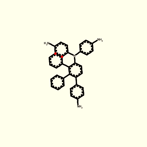 Nc1ccc(-c2ccc(N(c3ccc(N)cc3)c3ccc(N)cc3)c(-c3ccccc3)c2-c2ccccc2)cc1